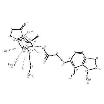 C[C@@H]1CC[C@@]23CCC(=O)[C@H]2[C@]1(C)[C@H](OC(=O)COc1ccc2c(c1F)B(O)OC2)C[C@@](C)(CN)[C@@H](O)[C@@H]3C